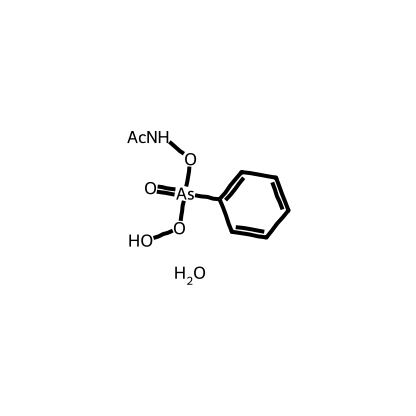 CC(=O)NO[As](=O)(OO)c1ccccc1.O